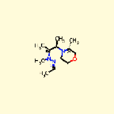 C/C=N\N(C)[C@@H](C)C(C)N1CCOC[C@H]1C